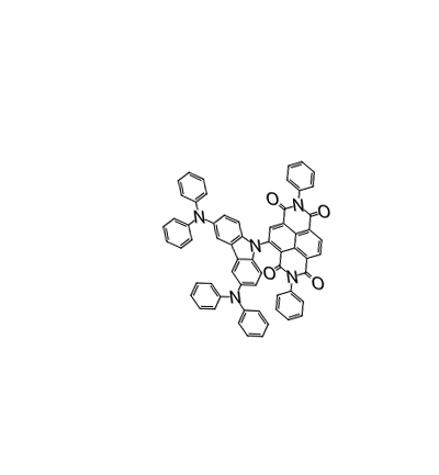 O=C1c2ccc3c4c(c(-n5c6ccc(N(c7ccccc7)c7ccccc7)cc6c6cc(N(c7ccccc7)c7ccccc7)ccc65)cc(c24)C(=O)N1c1ccccc1)C(=O)N(c1ccccc1)C3=O